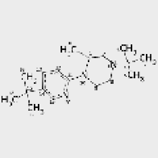 CC1CN(C(C)(C)C)CCN1c1ccc(C(C)(C)C)cn1